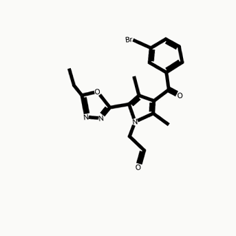 CCc1nnc(-c2c(C)c(C(=O)c3cccc(Br)c3)c(C)n2CC=O)o1